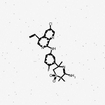 C=Cc1cnc(Nc2ccc(F)c(C3(C)CS(=O)(=O)C(C)(C)C(N)=N3)c2)c2ncc(Cl)cc12